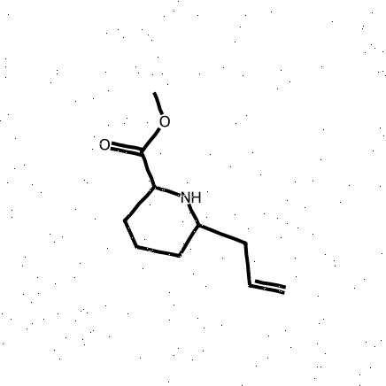 C=CCC1CCCC(C(=O)OC)N1